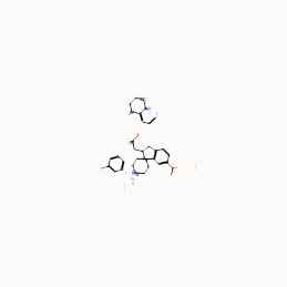 CC(O)c1ccc2c(c1)C1(CCC(Nc3cccc(Cl)c3)(C(=O)O)CC1)C(C[C@@H](C)COc1ccnc3c1[C@H](C)CC[C@H]3C)C2